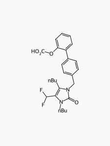 CCCCc1c(C(F)F)n(CCCC)c(=O)n1Cc1ccc(-c2ccccc2OC(=O)O)cc1